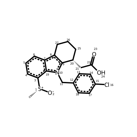 C[S@@+]([O-])c1cccc2c3c(n(Cc4ccc(Cl)cc4)c12)[C@@H](CC(=O)O)CCC3